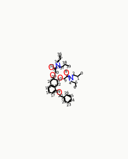 CCCN(CCC)C(=O)CO[C@H]1Cc2c(cccc2OCc2ccccc2)C[C@H]1OCC(=O)N(CCC)CCC